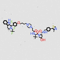 Cc1ncsc1-c1ccc(CNC(=O)[C@@H]2C[C@@H](O)CN2C(=O)C(NC(=O)CCN2CCN(CCCCOc3cc(F)c([C@@H]4c5[nH]c6ccccc6c5C[C@@H](C)N4CC(C)(C)F)c(F)c3)CC2)C(C)(C)C)cc1